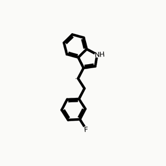 Fc1cccc(C[CH]c2c[nH]c3ccccc23)c1